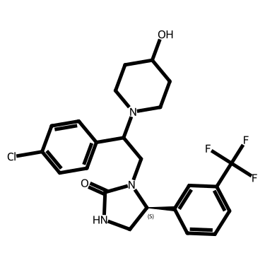 O=C1NC[C@H](c2cccc(C(F)(F)F)c2)N1CC(c1ccc(Cl)cc1)N1CCC(O)CC1